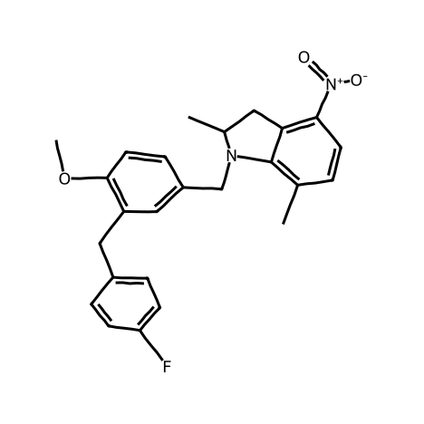 COc1ccc(CN2c3c(C)ccc([N+](=O)[O-])c3CC2C)cc1Cc1ccc(F)cc1